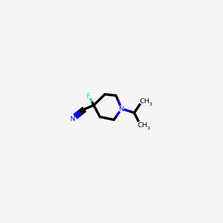 CC(C)N1CCC(F)(C#N)CC1